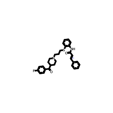 O=C(/C=C/c1ccccc1)Nc1ccccc1SCCCN1CCC(C(=O)c2ccc(F)cc2)CC1